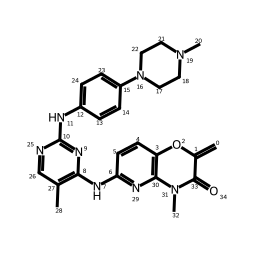 C=C1Oc2ccc(Nc3nc(Nc4ccc(N5CCN(C)CC5)cc4)ncc3C)nc2N(C)C1=O